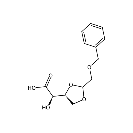 O=C(O)[C@H](O)[C@@H]1COC(COCc2ccccc2)O1